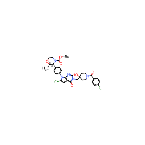 C[C@@H]1OCCN(C(=O)OC(C)(C)C)[C@H]1c1ccc(-n2c(Cl)cc3c(=O)n(CC4(O)CCN(C(=O)c5ccc(Cl)cc5)CC4)cnc32)cc1